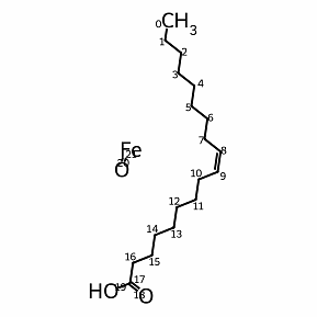 CCCCCCCC/C=C\CCCCCCCC(=O)O.[O]=[Fe]